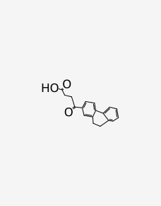 O=C(O)CCC(=O)c1ccc2c(c1)CCc1ccccc1-2